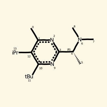 Cc1nc([C@@H](C)N(C)C)nc(C(C)(C)C)c1C(C)C